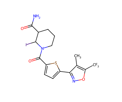 Cc1c(-c2ccc(C(=O)N3CCCC(C(N)=O)C3I)s2)noc1C(F)(F)F